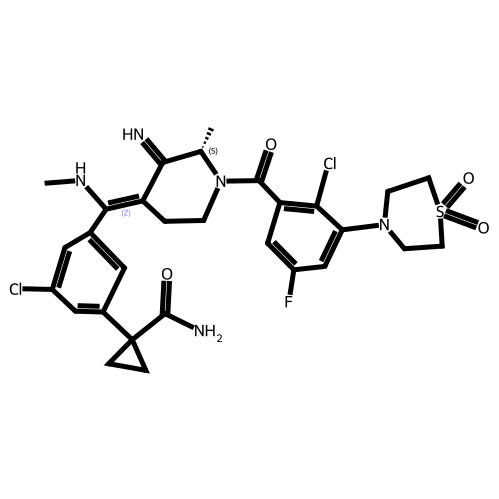 CN/C(=C1/CCN(C(=O)c2cc(F)cc(N3CCS(=O)(=O)CC3)c2Cl)[C@@H](C)C1=N)c1cc(Cl)cc(C2(C(N)=O)CC2)c1